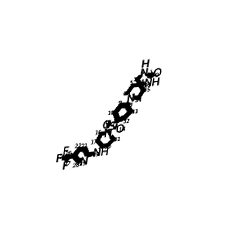 O=C1NCC2(CCN(c3ccc(S(=O)(=O)N4CCC(Nc5ccc(C(F)(F)F)cn5)CC4)cc3)CC2)N1